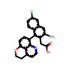 Cc1cc2cc(Cl)ccc2c(-c2ccc3c4c(ccnc24)CCO3)c1CC(=O)O